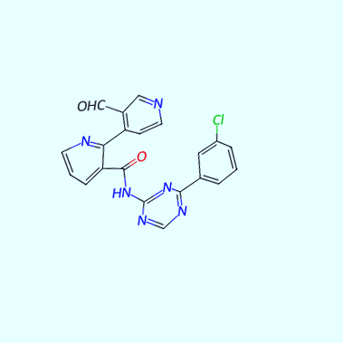 O=Cc1cnccc1-c1ncccc1C(=O)Nc1ncnc(-c2cccc(Cl)c2)n1